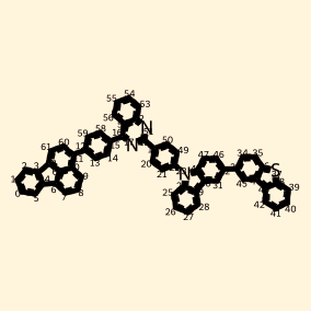 c1ccc2c(c1)-c1cccc3c(-c4ccc(-c5nc(-c6ccc(-n7c8ccccc8c8cc(-c9ccc%10sc%11ccccc%11c%10c9)ccc87)cc6)nc6ccccc56)cc4)ccc-2c13